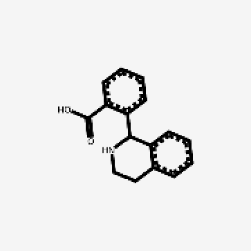 O=C(O)c1ccccc1C1NCCc2ccccc21